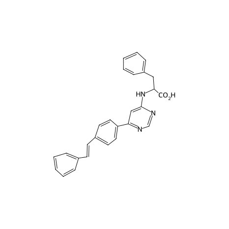 O=C(O)C(Cc1ccccc1)Nc1cc(-c2ccc(/C=C/c3ccccc3)cc2)ncn1